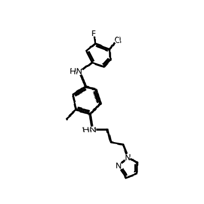 Cc1cc(Nc2ccc(Cl)c(F)c2)ccc1NCCCn1cccn1